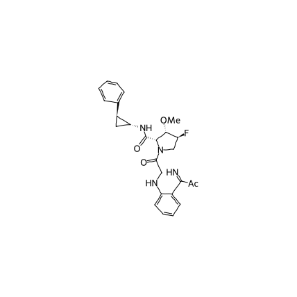 CO[C@H]1[C@@H](C(=O)N[C@@H]2C[C@H]2c2ccccc2)N(C(=O)CNc2ccccc2C(=N)C(C)=O)C[C@@H]1F